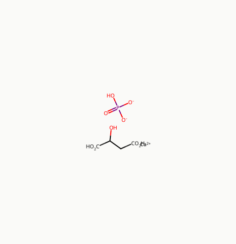 O=C(O)CC(O)C(=O)O.O=P([O-])([O-])O.[Ca+2]